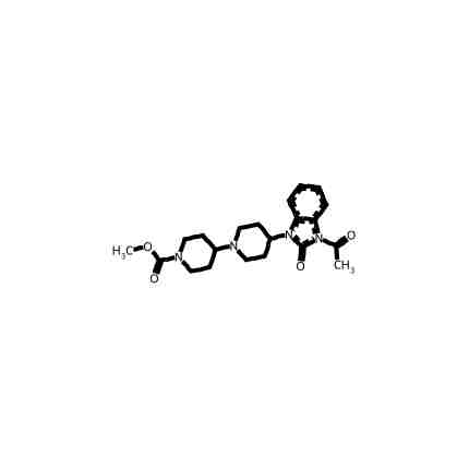 COC(=O)N1CCC(N2CCC(n3c(=O)n(C(C)=O)c4ccccc43)CC2)CC1